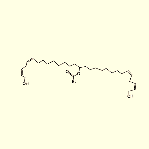 CCC(=O)OC(CCCCCCCC/C=C\C/C=C\CO)CCCCCCCC/C=C\C/C=C\CO